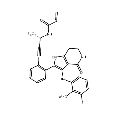 C=CC(=O)N[C@H](C#Cc1cnccc1-c1[nH]c2c(c1Nc1cccc(F)c1OC)C(=O)NCC2)C(F)(F)F